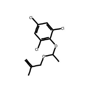 C=C(C)COC(C)Oc1c(Cl)cc(Cl)cc1Cl